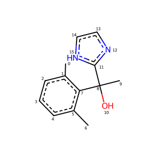 Cc1cccc(C)c1C(C)(O)c1ncc[nH]1